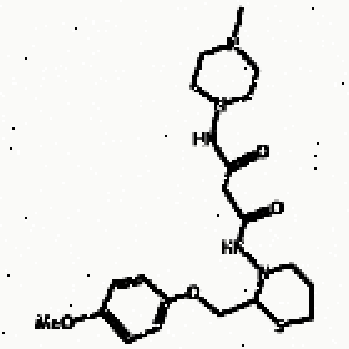 COc1ccc(OCC2SCCCN2NC(=O)CC(=O)NN2CCN(C)CC2)cc1